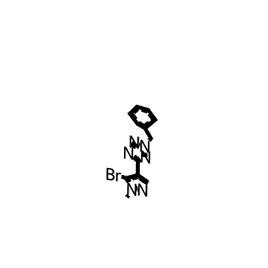 Cn1ncc(-c2nnn(Cc3ccccc3)n2)c1Br